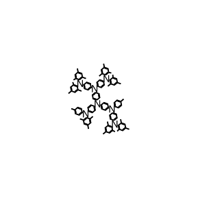 Cc1ccc(N(c2ccc(N(c3ccc(N(c4ccc(N(c5c(C)cc(C)cc5C)c5c(C)cc(C)cc5C)cc4)c4ccc(N(c5c(C)cc(C)cc5C)c5c(C)cc(C)cc5C)cc4)cc3)c3ccc(N(c4ccc(C)cc4)c4c(C)cc(C)cc4C)cc3)cc2)c2ccc(N(c3c(C)cc(C)cc3C)c3c(C)cc(C)cc3C)cc2)cc1